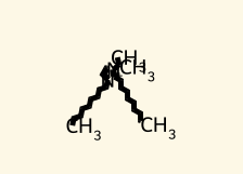 CCCCCCCCCc1n(C(C)C)cc[n+]1CCCCCCCCC